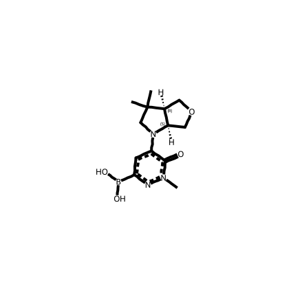 Cn1nc(B(O)O)cc(N2CC(C)(C)[C@H]3COC[C@H]32)c1=O